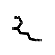 CCCCCCCCC(=O)OOC